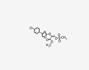 COC(=O)C(=COS(C)(=O)=O)Oc1nc(-c2ccc(Cl)cc2)co1